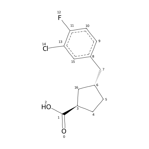 O=C(O)[C@@H]1CC[C@@H](Cc2ccc(F)c(Cl)c2)C1